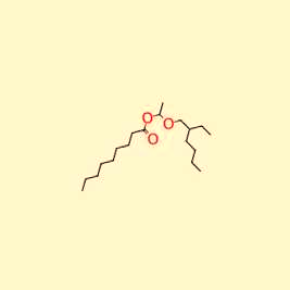 CCCCCCCCC(=O)OC(C)OCC(CC)CCCC